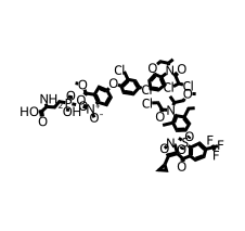 CC1COc2ccccc2N1C(=O)C(Cl)Cl.CCc1cccc(C)c1N(C(=O)CCl)C(C)COC.COC(=O)c1cc(Oc2ccc(Cl)cc2Cl)ccc1[N+](=O)[O-].CP(=O)(O)CCC(N)C(=O)O.CS(=O)(=O)c1cc(C(F)(F)F)ccc1C(=O)c1cnoc1C1CC1